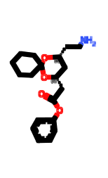 NCC[C@@H]1C[C@H](CC(=O)Oc2ccccc2)OC2(CCCCC2)O1